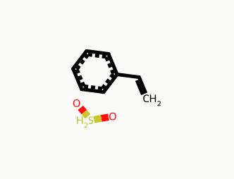 C=Cc1ccccc1.O=[SH2]=O